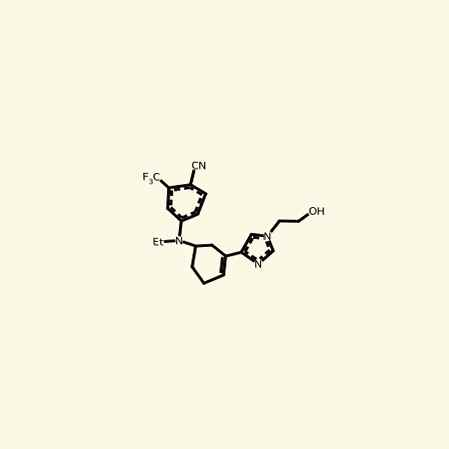 CCN(c1ccc(C#N)c(C(F)(F)F)c1)C1CCC=C(c2cn(CCO)cn2)C1